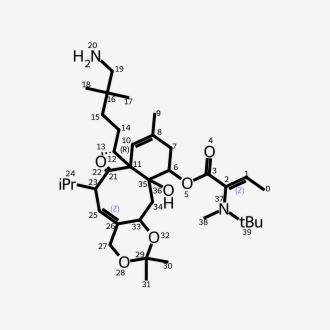 C/C=C(/C(=O)OC1CC(C)=CC2([C@H](C)CCC(C)(C)CN)C(=O)C(C(C)C)/C=C3/COC(C)(C)OC3CC12O)N(C)C(C)(C)C